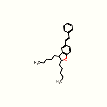 CCCCCC1Oc2ccc(C=Cc3ccccc3)cc2C1CCCCC